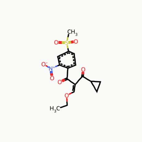 CCO/C=C(\C(=O)c1ccc(S(C)(=O)=O)cc1[N+](=O)[O-])C(=O)C1CC1